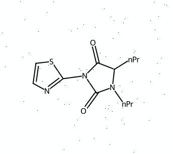 CCCC1C(=O)N(c2nccs2)C(=O)N1CCC